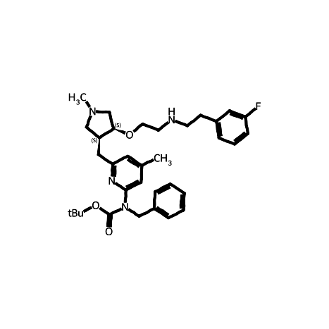 Cc1cc(C[C@H]2CN(C)C[C@H]2OCCNCCc2cccc(F)c2)nc(N(Cc2ccccc2)C(=O)OC(C)(C)C)c1